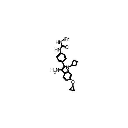 CC(C)NC(=O)Nc1ccc(-c2c(N)c3ccc(OC4CC4)cc3n2C2CCC2)cc1